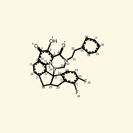 O=C1c2c(O)c(=O)ccn2N(C23c4ccccc4CC2Cc2c3ccc(F)c2F)CN1CCc1ccccc1